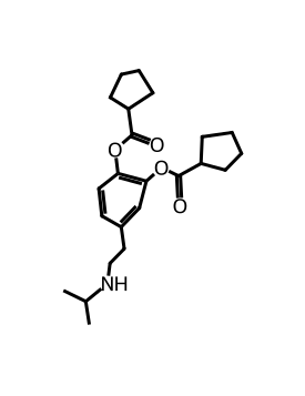 CC(C)NCCc1ccc(OC(=O)C2CCCC2)c(OC(=O)C2CCCC2)c1